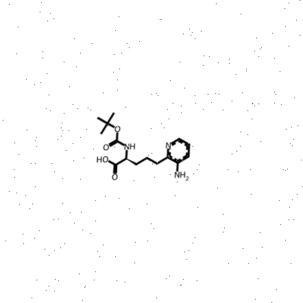 CC(C)(C)OC(=O)N[C@@H](CCCc1ncccc1N)C(=O)O